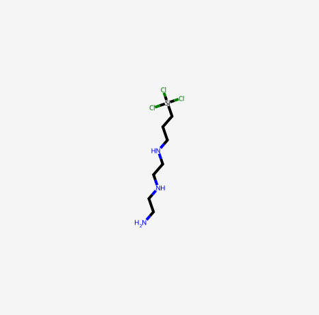 NCCNCCNCCC[Si](Cl)(Cl)Cl